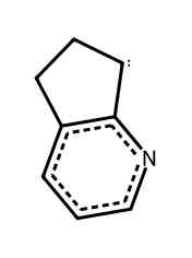 [C]1CCc2cccnc21